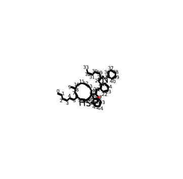 C=C/C=C\C=CC1=C/C(=C)CC/C=C\CC(C(/C=C\C)=C/c2cccc3c2cc(/C=C\C=C/C)n3-c2ccccc2)(c2ccccc2S)C/C=C\1